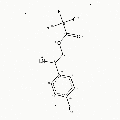 NC(COC(=O)C(F)(F)F)c1ccc(F)cc1